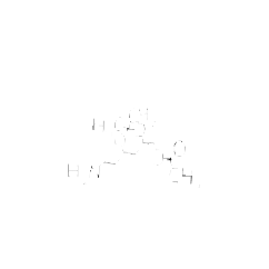 CC(=O)OCC1CC(CCN)OC(C)(C)O1